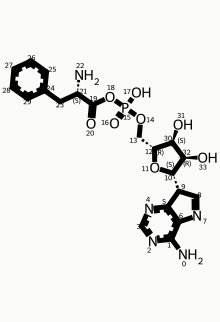 Nc1ncnc2c1N=CC2[C@@H]1O[C@H](COP(=O)(O)OC(=O)[C@@H](N)Cc2ccccc2)[C@@H](O)[C@H]1O